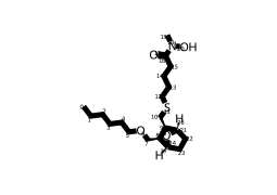 CCCCCCOC[C@H]1[C@@H](CSCCCCC(=O)N(C)O)[C@H]2CC[C@@H]1O2